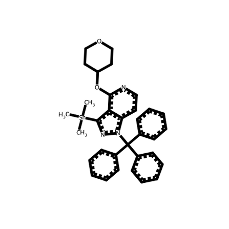 [CH3][Sn]([CH3])([CH3])[c]1nn(C(c2ccccc2)(c2ccccc2)c2ccccc2)c2ccnc(OC3CCOCC3)c12